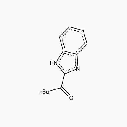 CCCCC(=O)c1nc2ccccc2[nH]1